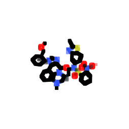 COC[C@@H]1CCCC[C@H]1n1cnc(C(=O)N2CCN(C)C[C@H]2CCN(c2ccc3sc(C)nc3c2)S(=O)(=O)c2ccccc2[N+](=O)[O-])c1-c1ccccc1